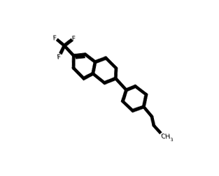 CCCC1CCC(C2CCC3C=C(C(F)(F)F)CCC3C2)CC1